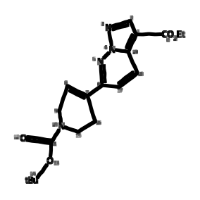 CCOC(=O)c1cnn2nc(C3=CCN(C(=O)OC(C)(C)C)CC3)ccc12